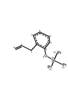 C=CCc1ccccc1O[Si](C(C)C)(C(C)C)C(C)C